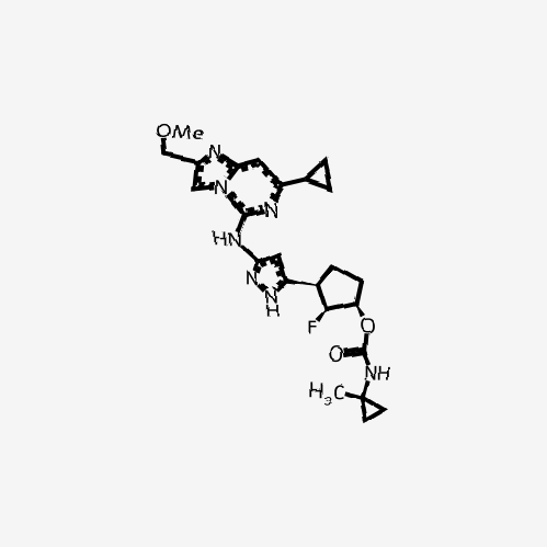 COCc1cn2c(Nc3cc([C@H]4CC[C@@H](OC(=O)NC5(C)CC5)[C@H]4F)[nH]n3)nc(C3CC3)cc2n1